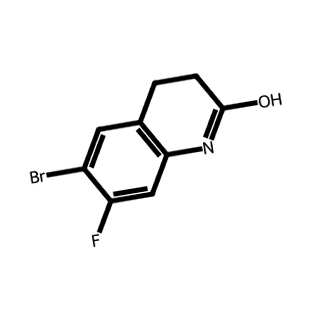 OC1=Nc2cc(F)c(Br)cc2CC1